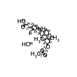 CCS(=O)(=O)CCOc1cc(C)c(-c2cccc3c2CCC3Nc2ccc(CCC(=O)O)c(F)c2)c(C)c1.Cl